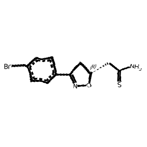 NC(=S)C[C@H]1CC(c2ccc(Br)cc2)=NO1